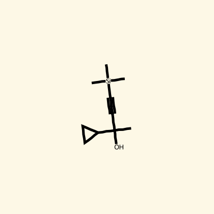 CC(O)(C#C[Si](C)(C)C)C1CC1